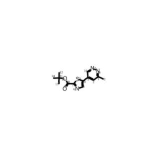 Cc1cc(-c2cnc(C(=O)OC(C)(C)C)s2)cnn1